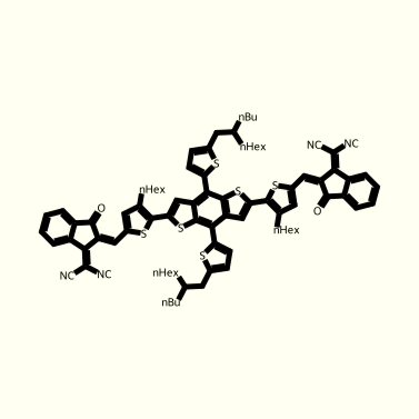 [C-]#[N+]/C(C#N)=C1\C(=C\c2cc(CCCCCC)c(-c3cc4c(-c5ccc(CC(CCCC)CCCCCC)s5)c5sc(-c6sc(/C=C7\C(=O)c8ccccc8\C7=C(\C#N)[N+]#[C-])cc6CCCCCC)cc5c(-c5ccc(CC(CCCC)CCCCCC)s5)c4s3)s2)C(=O)c2ccccc21